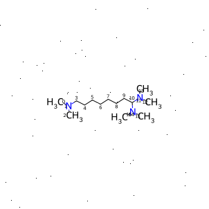 CN(C)CCCCCCCC(N(C)C)N(C)C